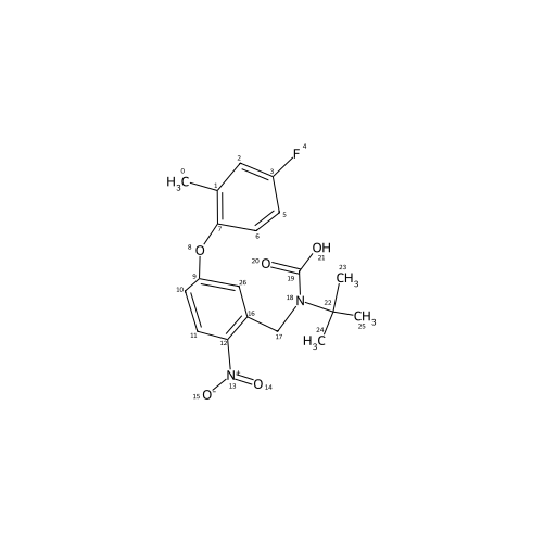 Cc1cc(F)ccc1Oc1ccc([N+](=O)[O-])c(CN(C(=O)O)C(C)(C)C)c1